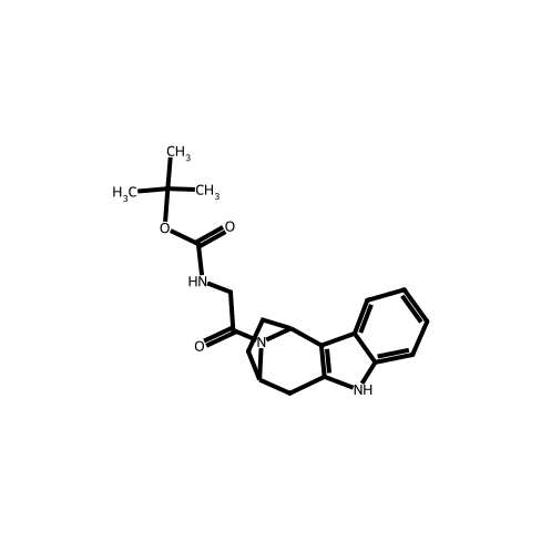 CC(C)(C)OC(=O)NCC(=O)N1C2CCC1c1c([nH]c3ccccc13)C2